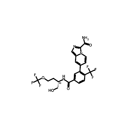 NC(=O)c1ncc2cc(-c3cc(C(=O)N[C@H](CO)CCOC(F)(F)F)ccc3C(F)(F)F)ccn12